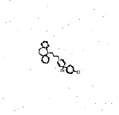 OC1(c2ccc(Cl)cc2)C=CN(CCCN2c3ccccc3CCc3ccccc32)C=C1